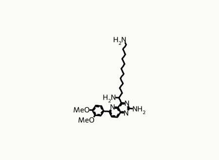 COc1ccc(-c2ccc3nc(N)nc(C(N)CCCCCCCCCCCN)c3n2)cc1OC